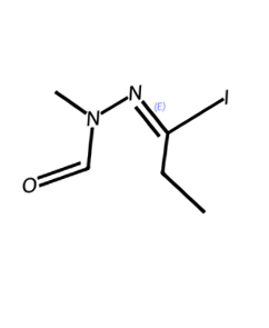 CC/C(I)=N\N(C)C=O